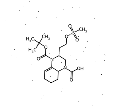 CC(C)(C)OC(=O)N1C2=CCCCC2N(C(=O)O)CC1CCOS(C)(=O)=O